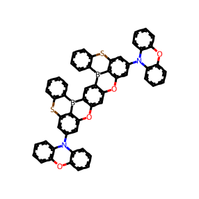 c1ccc2c(c1)Oc1ccccc1N2c1cc2c3c(c1)Sc1ccccc1B3c1cc3c(cc1O2)Oc1cc(N2c4ccccc4Oc4ccccc42)cc2c1B3c1ccccc1S2